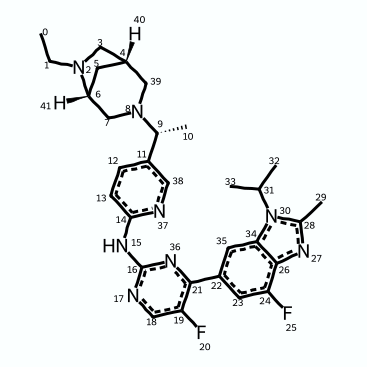 CCN1C[C@H]2C[C@@H]1CN([C@H](C)c1ccc(Nc3ncc(F)c(-c4cc(F)c5nc(C)n(C(C)C)c5c4)n3)nc1)C2